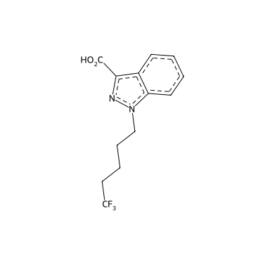 O=C(O)c1nn(CCCCC(F)(F)F)c2ccccc12